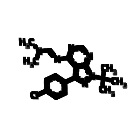 CN(C)C=Nc1ncnc2c1c(-c1ccc(Cl)cc1)nn2C(C)(C)C